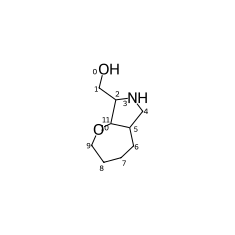 OCC1NCC2CCCCOC21